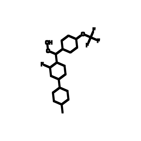 CC1CCC(C2CCC(C(OO)C3CCC(OC(F)(F)F)CC3)C(F)C2)CC1